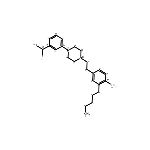 CCCCCc1cc(CCN2CCN(c3cccc(C(F)F)c3)CC2)ccc1C